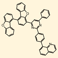 c1ccc(-c2cc(-c3ccc(-c4cccc5oc6ccccc6c45)c4c3oc3ccccc34)nc(-c3ccc(-c4cccc5cccnc45)cc3)n2)cc1